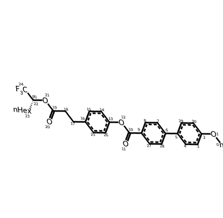 CCCCCCCCCCOc1ccc(-c2ccc(C(=O)Oc3ccc(CCC(=O)O[C@H](CCCCCC)C(F)(F)F)cc3)cc2)cc1